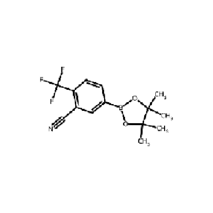 CC1(C)OB(c2ccc(C(F)(F)F)c(C#N)c2)OC1(C)C